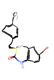 O=C(Nc1ccc(Br)cc1C(=O)O)SCc1ccc(C(F)(F)F)cc1